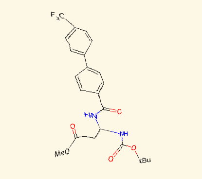 COC(=O)CC(NC(=O)OC(C)(C)C)NC(=O)c1ccc(-c2ccc(C(F)(F)F)cc2)cc1